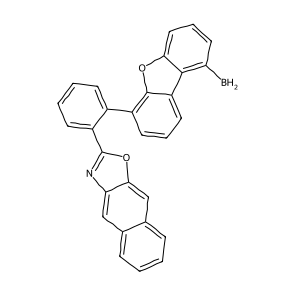 Bc1cccc2oc3c(-c4ccccc4-c4nc5cc6ccccc6cc5o4)cccc3c12